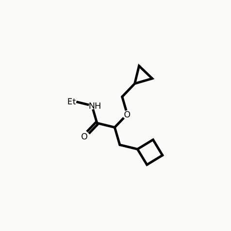 CCNC(=O)C(CC1CCC1)OCC1CC1